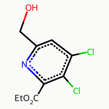 CCOC(=O)c1nc(CO)cc(Cl)c1Cl